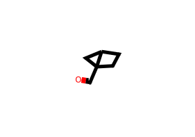 O=[C]C12CCC1C2